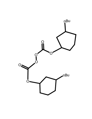 CCCCC1CCCC(OC(=O)OOC(=O)OC2CCCC(CCCC)C2)C1